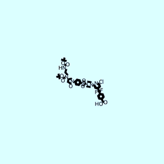 CC(C)(C)OC(=O)NCCCN(C(=O)OC(C)(C)C)C1CC(=O)N(c2ccc(S(=O)(=O)N3CCN(c4cc(C(F)(F)c5ccc(C(=O)O)cc5)cc(Cl)n4)CC3)cc2)C1